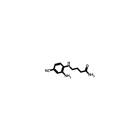 N#Cc1ccc(NCCCC(N)=O)c(N)c1